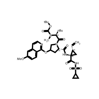 C=C[C@@H]1C[C@]1(NC(=O)[C@@H]1CC(Oc2nccc3cc(OC)ccc23)CN1C(=O)[C@H](CCCC)N(C)C(=O)OC(C)(C)C)C(=O)NS(=O)(=O)C1CC1